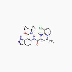 C=C(/C=C(/C(=O)Nc1ccc2cn[nH]c2c1C(=O)NC1(C2CC2)CC1)N(C)c1ncccc1Cl)C(F)(F)F